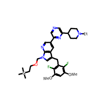 CCN1CCC(c2cncc(-c3cnc4c(c3)c(Cc3c(F)c(OC)cc(OC)c3F)cn4COCC[Si](C)(C)C)n2)CC1